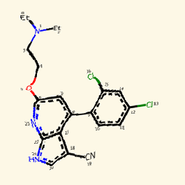 CCN(CC)CCOc1cc(-c2ccc(Cl)cc2Cl)c2c(C#N)c[nH]c2n1